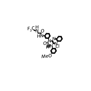 COc1ccc(Cl)c(Nc2nc3ccccc3nc2N(c2cccc(NC(=O)CNCC(F)(F)F)c2)[SH](=O)=O)c1